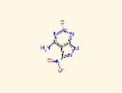 Nc1n[n+]([O-])nc2[nH]nc([N+](=O)[O-])c12